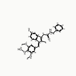 COc1cc(/C=C2/C(C)=C(CC(=O)NCc3ccccc3)c3cc(F)ccc32)cc(OC)c1OO